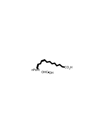 CCCCC/C=C\C/C=C\CCCCCCCC(=O)O.O=CO